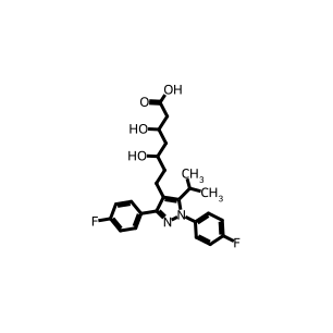 CC(C)c1c(CCC(O)CC(O)CC(=O)O)c(-c2ccc(F)cc2)nn1-c1ccc(F)cc1